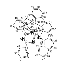 c1ccc(-c2nc(-c3ccccc3)nc(-n3c4c5c(ccc4c4ccc6ccccc6c43)-c3ccccc3C53C4CC5CC(C4)CC3C5)n2)cc1